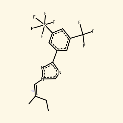 CC/C(C)=C\n1cnc(-c2cc(C(F)(F)F)cc(S(F)(F)(F)(F)F)c2)n1